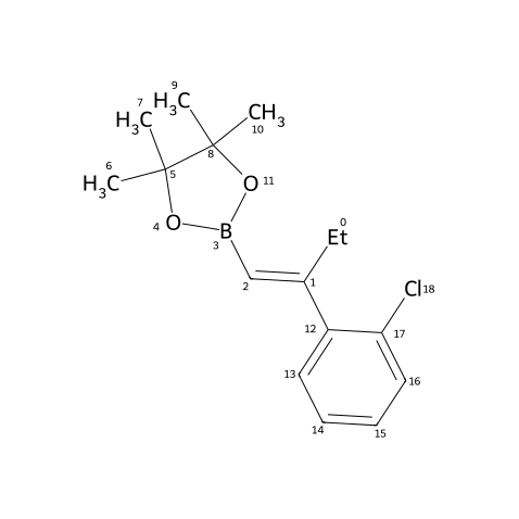 CCC(=CB1OC(C)(C)C(C)(C)O1)c1ccccc1Cl